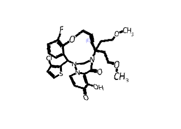 COCCC1(CCOC)/C=C/COc2c(F)cccc2C(c2sccc2Cl)N2CN1C(=O)c1c(O)c(=O)ccn12